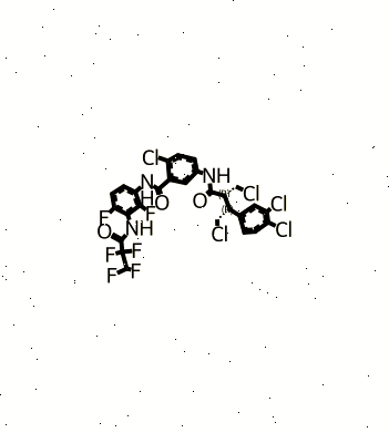 O=C(Nc1ccc(F)c(NC(=O)C(F)(F)C(F)F)c1F)c1cc(NC(=O)[C@H](CCl)[C@@H](CCl)c2ccc(Cl)c(Cl)c2)ccc1Cl